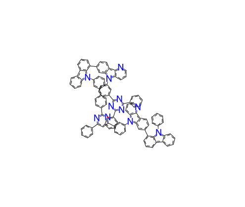 c1ccc(-c2cc(-c3cccc(-n4c5cc(-c6cccc7c8ccccc8n(-c8ccccc8)c67)ccc5c5ncccc54)c3)nc(-c3ccc(-c4cccc(-n5c6ccccc6c6cccc(-c7ccc8c9ncccc9n(-c9cccc(-c%10nc(-c%11ccccc%11)nc(-c%11ccccc%11)n%10)c9)c8c7)c65)c4)cc3)n2)cc1